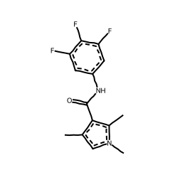 Cc1cn(C)c(C)c1C(=O)Nc1cc(F)c(F)c(F)c1